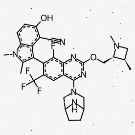 Cc1c(-c2c(C(F)(F)F)cc3c(N4CC5CCC(C4)N5)nc(OC[C@@H]4[C@H](C)CN4C)nc3c2F)c2c(C#N)c(O)ccc2n1C